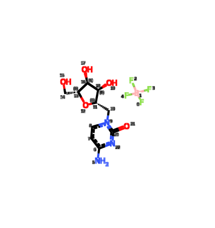 F[B-](F)(F)F.Nc1ccn(C[C@@H]2O[C@H](CO)[C@@H](O)[C@H]2O)c(=O)n1